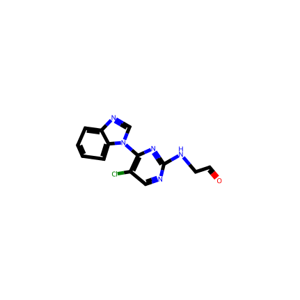 O=CCNc1ncc(Cl)c(-n2cnc3ccccc32)n1